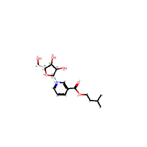 CC(C)CCOC(=O)c1ccc[n+]([C@@H]2O[C@H](CO)C(O)C2O)c1